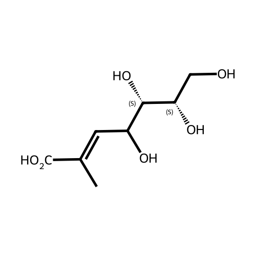 CC(=CC(O)[C@H](O)[C@@H](O)CO)C(=O)O